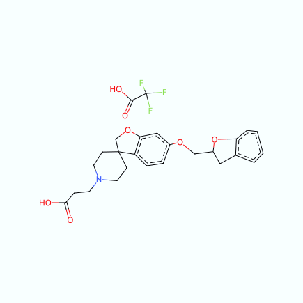 O=C(O)C(F)(F)F.O=C(O)CCN1CCC2(CC1)COc1cc(OCC3Cc4ccccc4O3)ccc12